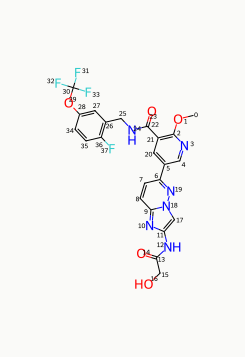 COc1ncc(-c2ccc3nc(NC(=O)CO)cn3n2)cc1C(=O)NCc1cc(OC(F)(F)F)ccc1F